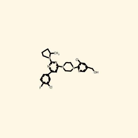 CC1CCCN1c1nc(-c2ccc(F)c(Cl)c2)cc(N2CCN(c3ncc(CO)cc3Cl)CC2)n1